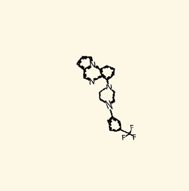 FC(F)(F)c1cccc(N2CCN(c3cccc4c3ncc3cccn34)CC2)c1